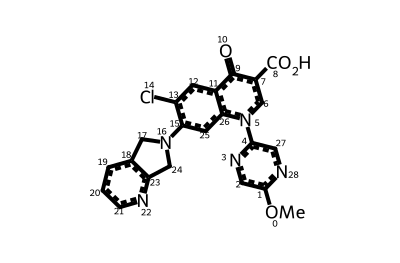 COc1cnc(-n2cc(C(=O)O)c(=O)c3cc(Cl)c(N4Cc5cccnc5C4)cc32)cn1